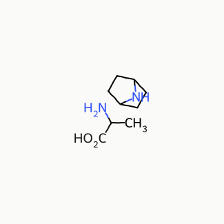 C1CC2CCC1N2.CC(N)C(=O)O